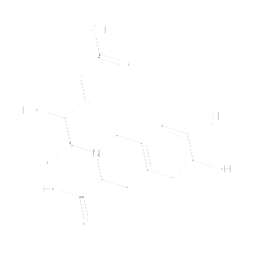 CC(=O)SCC(C)C(=O)N1Cc2cc(C)c(O)cc2CC1C(=O)O